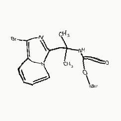 CC(C)(C)OC(=O)NC(C)(C)c1nc(Br)c2ccccn12